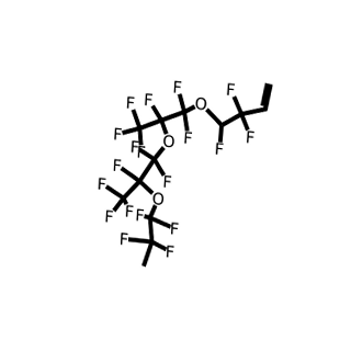 C=CC(F)(F)C(F)OC(F)(F)C(F)(OC(F)(F)C(F)(OC(F)(F)C(C)(F)F)C(F)(F)F)C(F)(F)F